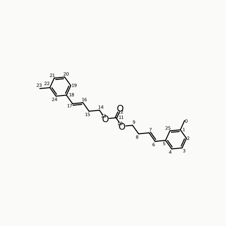 Cc1cccc(C=CCCOC(=O)OCCC=Cc2cccc(C)c2)c1